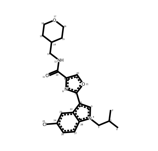 CC(C)Cn1cc(-c2nc(C(=O)NCC3CCOCC3)co2)c2cc(Cl)ccc21